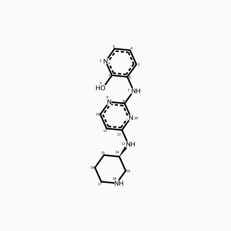 Oc1ncccc1Nc1nccc(N[C@@H]2CCCNC2)n1